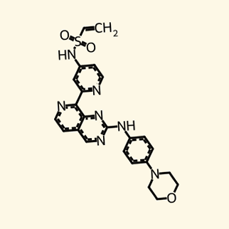 C=CS(=O)(=O)Nc1ccnc(-c2nccc3cnc(Nc4ccc(N5CCOCC5)cc4)nc23)c1